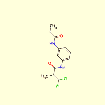 CCC(=O)Nc1cccc(NC(=O)C(C)C(Cl)Cl)c1